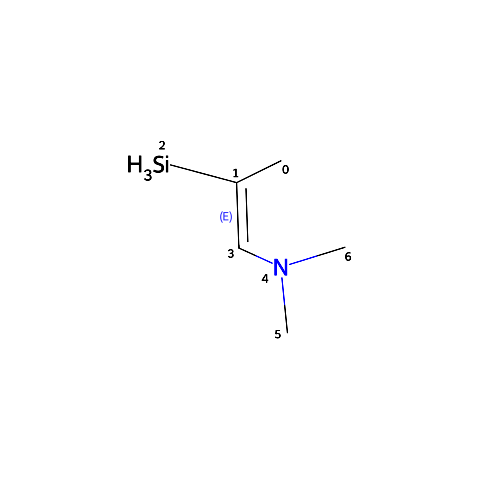 C/C([SiH3])=C\N(C)C